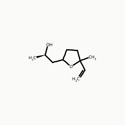 C=CC1(C)CCC(C[C@@H](C)O)O1